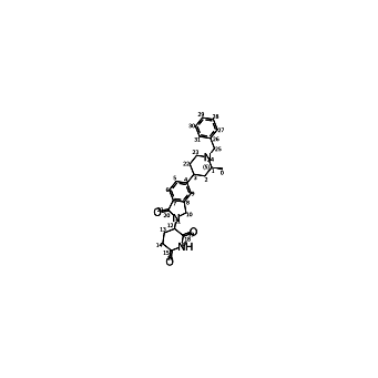 C[C@H]1CC(c2ccc3c(c2)CN(C2CCC(=O)NC2=O)C3=O)CCN1Cc1ccccc1